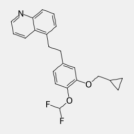 FC(F)Oc1ccc(CCc2cccc3ncccc23)cc1OCC1CC1